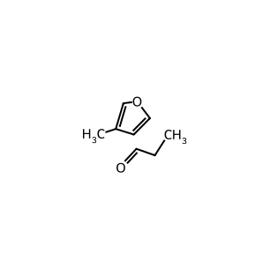 CCC=O.Cc1ccoc1